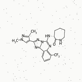 Cc1nn(C)cc1-c1nc2c3cccc(C(F)(F)F)c3nc(N[C@@H]3CCCCNC3=O)n2n1